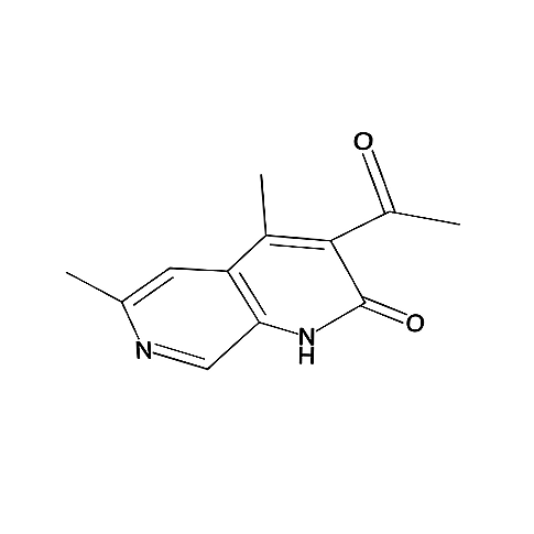 CC(=O)c1c(C)c2cc(C)ncc2[nH]c1=O